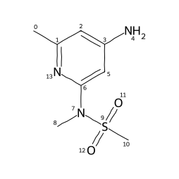 Cc1cc(N)cc(N(C)S(C)(=O)=O)n1